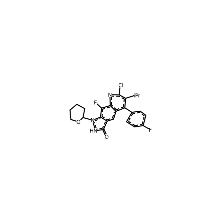 CC(C)c1c(Cl)nc2c(F)c3c(cc2c1-c1ccc(F)cc1)c(=O)[nH]n3C1CCCCO1